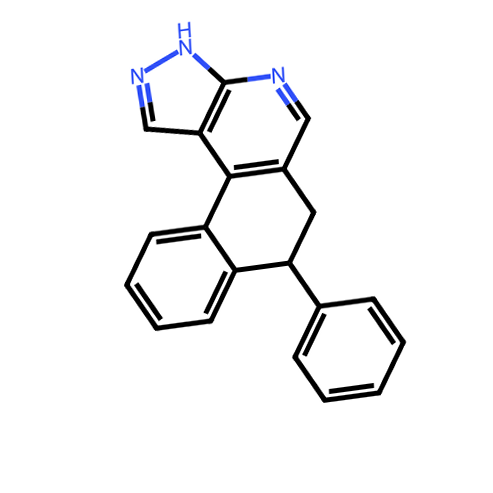 c1ccc(C2Cc3cnc4[nH]ncc4c3-c3ccccc32)cc1